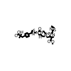 COC(=O)C1=C(CN2CCN3C(=O)N(c4nc(-c5ccc(CC(C)(C)C(=O)O)cc5)cs4)C[C@@H]3C2)NC(c2nccs2)=NC1